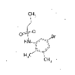 CCCS(=O)(=O)Nc1cc(Br)cc(C)c1C